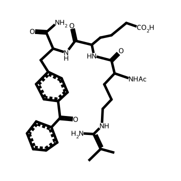 CC(=O)NC(CCCNC(N)=C(C)C)C(=O)NC(CCCC(=O)O)C(=O)NC(Cc1ccc(C(=O)c2ccccc2)cc1)C(N)=O